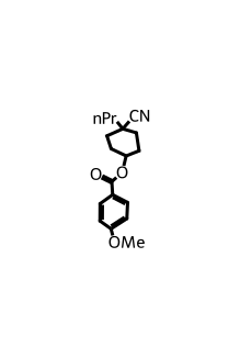 CCCC1(C#N)CCC(OC(=O)c2ccc(OC)cc2)CC1